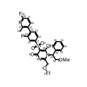 CCOCc1nc(=O)c(S(=O)(=O)c2ccc(-c3ccc(F)nc3C)c(F)c2)c(O)n1C(COC)c1ccccc1